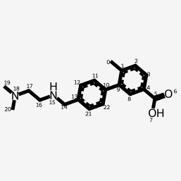 Cc1ccc(C(=O)O)cc1-c1ccc(CNCCN(C)C)cc1